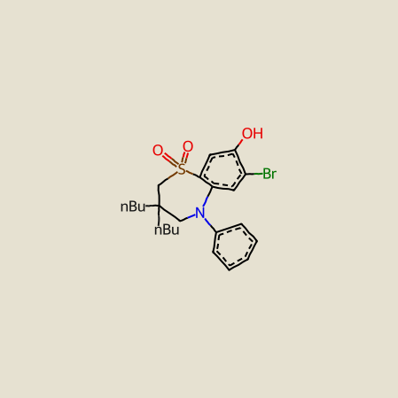 CCCCC1(CCCC)CN(c2ccccc2)c2cc(Br)c(O)cc2S(=O)(=O)C1